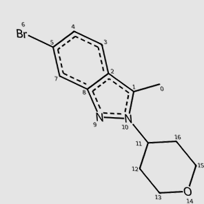 Cc1c2ccc(Br)cc2nn1C1CCOCC1